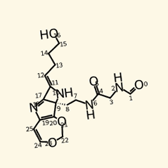 O=CNCC(=O)NCC[C@@]12N/C(=C\CCCO)C1=NC1=C2OCOC=C1